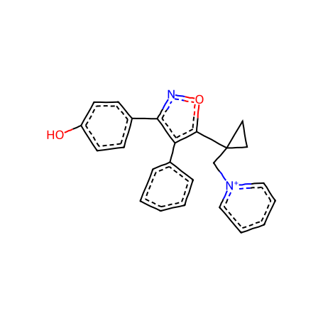 Oc1ccc(-c2noc(C3(C[n+]4ccccc4)CC3)c2-c2ccccc2)cc1